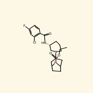 CCOC(=O)N1C2CCC1CC(N1CCC[C@@H](NC(=O)c3ccc(F)cc3Cl)C1)C2